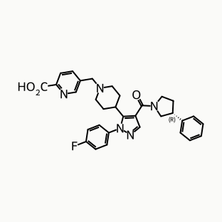 O=C(O)c1ccc(CN2CCC(c3c(C(=O)N4CC[C@H](c5ccccc5)C4)cnn3-c3ccc(F)cc3)CC2)cn1